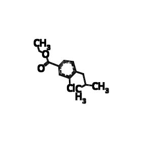 CCOC(=O)c1ccc(CC(C)C)c(Cl)c1